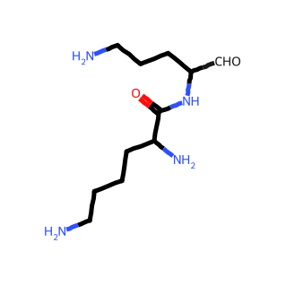 NCCCCC(N)C(=O)NC(C=O)CCCN